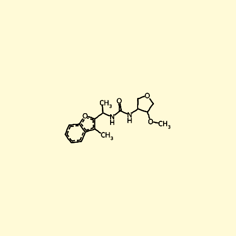 COC1COCC1NC(=O)NC(C)c1oc2ccccc2c1C